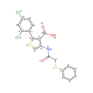 O=C(CSc1ccccc1)Nc1csc(-c2ccc(Cl)cc2Cl)c1C(=O)O